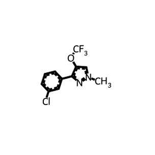 Cn1cc(OC(F)(F)F)c(-c2cccc(Cl)c2)n1